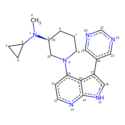 CN(C1CC1)[C@H]1CCCN(c2ccnc3[nH]cc(-c4cncnc4)c23)C1